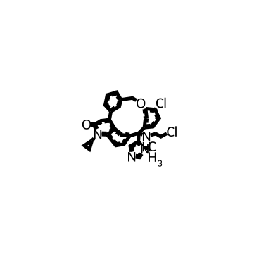 Cn1cncc1C1(NCCCl)c2ccc(Cl)c(c2)OCc2cccc(c2)-c2cc(=O)n(C3CC3)c3ccc1cc23